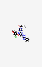 COc1ccc(Oc2cc(NCc3nc4ccccc4[nH]3)nc(N3CCN(C(C)=O)CC3)n2)c(Cl)c1